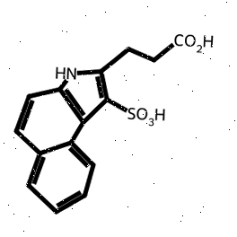 O=C(O)CCc1[nH]c2ccc3ccccc3c2c1S(=O)(=O)O